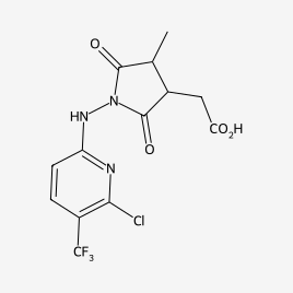 CC1C(=O)N(Nc2ccc(C(F)(F)F)c(Cl)n2)C(=O)C1CC(=O)O